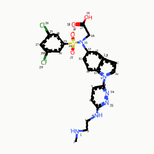 CNCCNc1ccc(-n2ccc3cc(N(CC(=O)O)S(=O)(=O)c4cc(Cl)cc(Cl)c4)ccc32)nn1